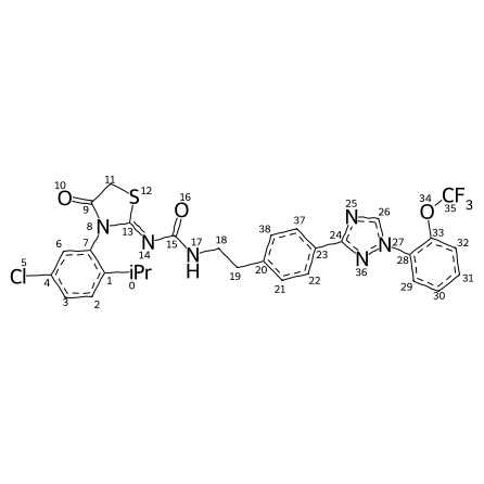 CC(C)c1ccc(Cl)cc1N1C(=O)CSC1=NC(=O)NCCc1ccc(-c2ncn(-c3ccccc3OC(F)(F)F)n2)cc1